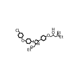 CCOCc1nc(-c2ccc(OCC(O)CN(CC)CC)cc2)cn1-c1ccc(Oc2ccc(Cl)cc2)cc1